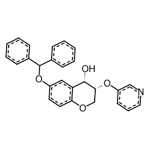 O[C@H]1c2cc(OC(c3ccccc3)c3ccccc3)ccc2OC[C@H]1Oc1cccnc1